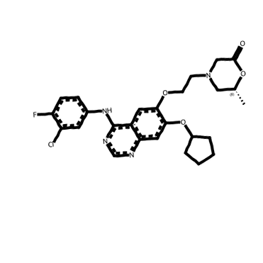 C[C@@H]1CN(CCOc2cc3c(Nc4ccc(F)c(Cl)c4)ncnc3cc2OC2CCCC2)CC(=O)O1